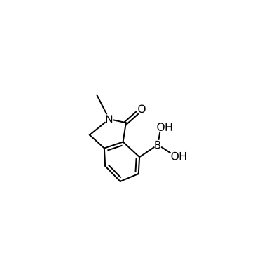 CN1Cc2cccc(B(O)O)c2C1=O